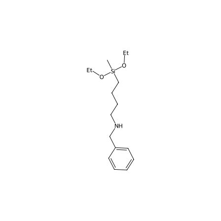 CCO[Si](C)(CCCCNCc1ccccc1)OCC